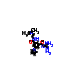 CN(C)CCNC(=O)c1cc(C(=O)N=C(N)N)cc(-n2cccc2)c1